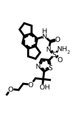 COCCOCC(C)(O)c1ncc(S(N)(=O)=NC(=O)Nc2c3c(cc4c2CCC4)CCC3)s1